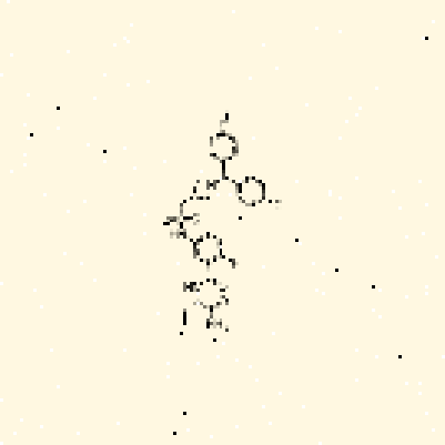 CC[C@H](NC(=O)c1cc(NS(=O)(=O)CC2CN(C(c3ccc(Cl)cc3)c3ccc(Cl)cc3)C2)ccc1F)C(N)=O